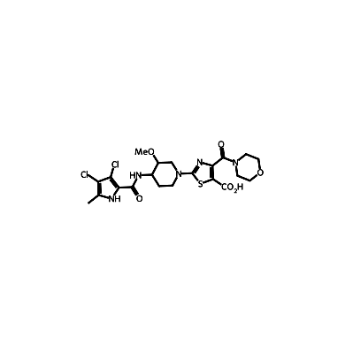 COC1CN(c2nc(C(=O)N3CCOCC3)c(C(=O)O)s2)CCC1NC(=O)c1[nH]c(C)c(Cl)c1Cl